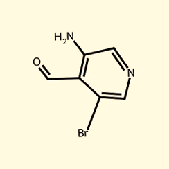 Nc1cncc(Br)c1C=O